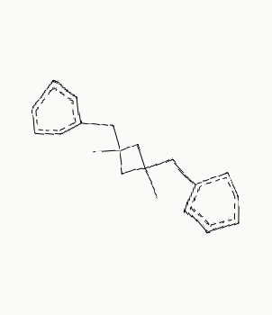 CC1(Cc2ccccc2)CC(C)(Cc2ccccc2)C1